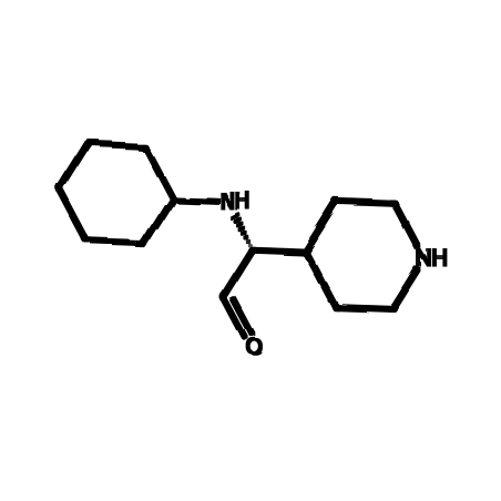 O=C[C@H](NC1CCCCC1)C1CCNCC1